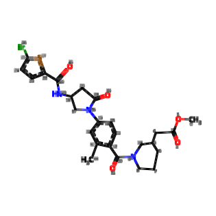 COC(=O)CC1CCCN(C(=O)c2ccc(N3CC(NC(=O)c4ccc(Br)s4)CC3=O)cc2C)C1